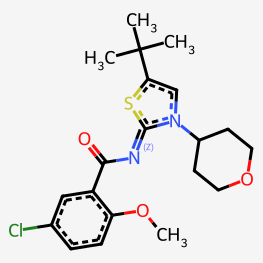 COc1ccc(Cl)cc1C(=O)/N=c1\sc(C(C)(C)C)cn1C1CCOCC1